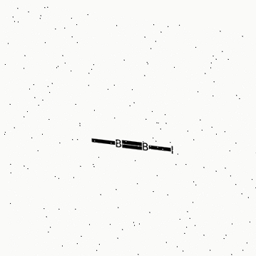 CB=BI